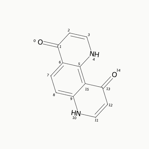 O=c1cc[nH]c2c1ccc1[nH]ccc(=O)c12